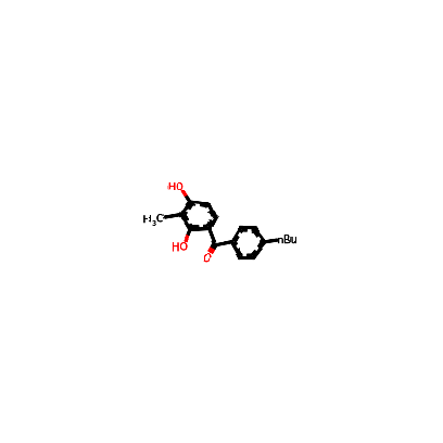 CCCCc1ccc(C(=O)c2ccc(O)c(C)c2O)cc1